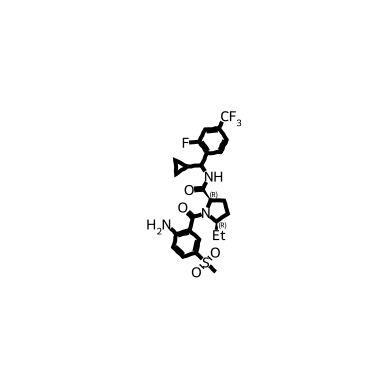 CC[C@@H]1CC[C@H](C(=O)NC(c2ccc(C(F)(F)F)cc2F)C2CC2)N1C(=O)c1cc(S(C)(=O)=O)ccc1N